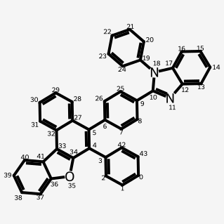 c1ccc(-c2c(-c3ccc(-c4nc5ccccc5n4-c4ccccc4)cc3)c3ccccc3c3c2oc2ccccc23)cc1